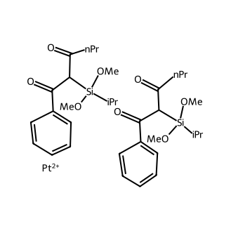 CCCC(=O)C(C(=O)c1ccccc1)[Si](OC)(OC)C(C)C.CCCC(=O)C(C(=O)c1ccccc1)[Si](OC)(OC)C(C)C.[Pt+2]